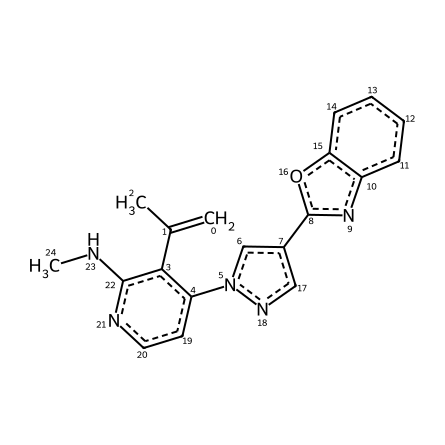 C=C(C)c1c(-n2cc(-c3nc4ccccc4o3)cn2)ccnc1NC